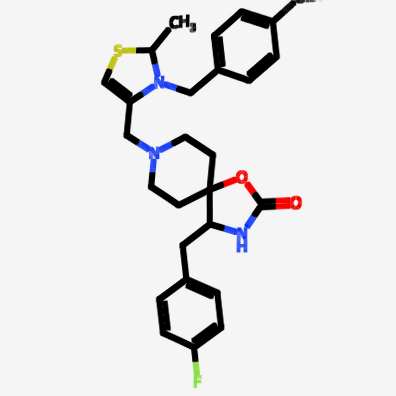 CC(C)COc1ccc(CN2C(CN3CCC4(CC3)OC(=O)NC4Cc3ccc(F)cc3)=CSC2C)cc1